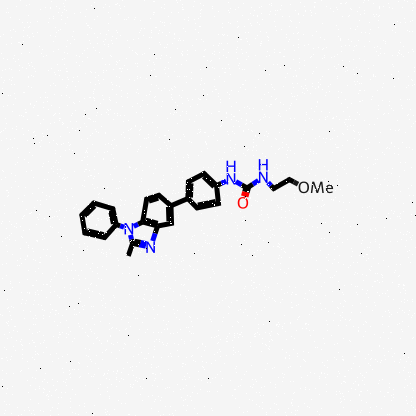 COCCNC(=O)Nc1ccc(-c2ccc3c(c2)nc(C)n3-c2ccccc2)cc1